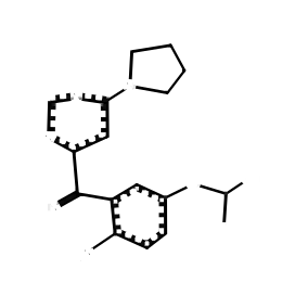 CC(C)Oc1ccc(N)c(C(=N)c2cc(N3CCCC3)ncn2)c1